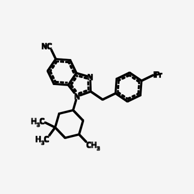 CC1CC(n2c(Cc3ccc(C(C)C)cc3)nc3cc(C#N)ccc32)CC(C)(C)C1